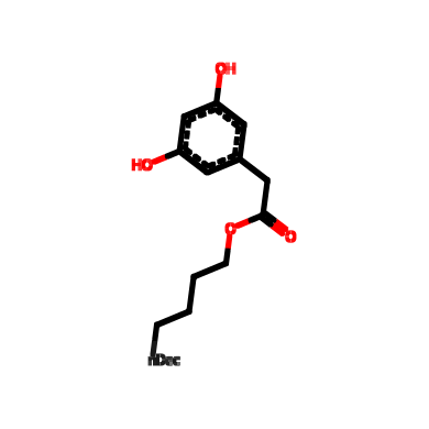 CCCCCCCCCCCCCCOC(=O)Cc1cc(O)cc(O)c1